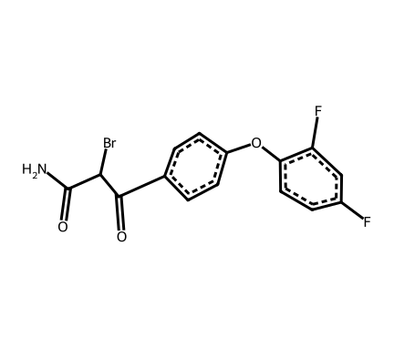 NC(=O)C(Br)C(=O)c1ccc(Oc2ccc(F)cc2F)cc1